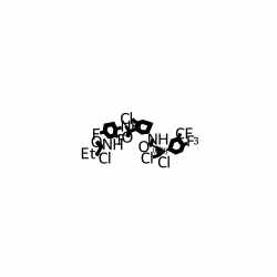 CCC(Cl)C(=O)Nc1c(F)ccc(NC(=O)c2cc(NC(=O)[C@H]3[C@H](c4ccc(F)c(C(F)(F)F)c4)C3(Cl)Cl)ccc2Cl)c1F